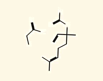 C=CC(C)(CCC=C(C)C)OC(=O)CC.CCC(=O)O